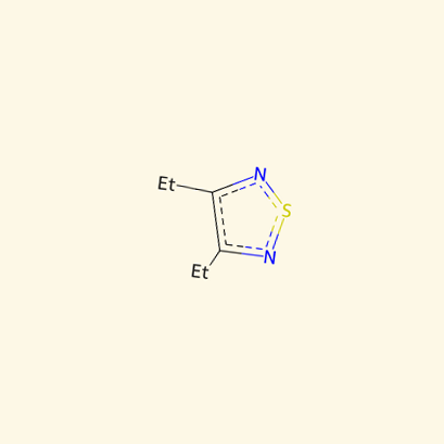 CCc1nsnc1CC